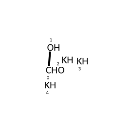 O=CO.[KH].[KH].[KH]